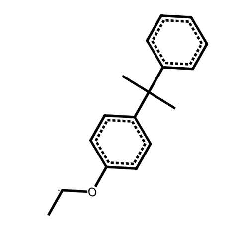 C[CH]Oc1ccc(C(C)(C)c2ccccc2)cc1